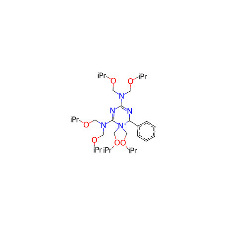 CC(C)OCN(COC(C)C)C1=NC(c2ccccc2)[N+](COC(C)C)(COC(C)C)C(N(COC(C)C)COC(C)C)=N1